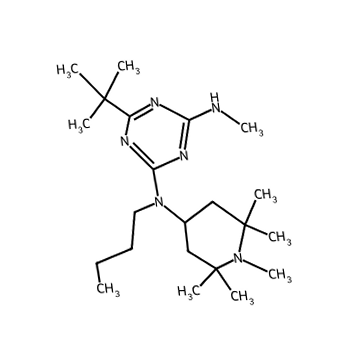 CCCCN(c1nc(NC)nc(C(C)(C)C)n1)C1CC(C)(C)N(C)C(C)(C)C1